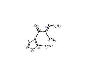 C/C=C(\C)C(=O)c1ccsc1[C]=O